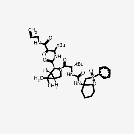 C=CCNC(=O)C(=O)C(CCCC)NC(=O)[C@@H]1[C@@H]2[C@H](CN1C(=O)[C@@H](NC(=O)NC1(CS(=O)(=O)c3ccccc3)CCCCC1)C(C)(C)C)C2(C)C